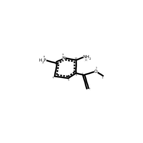 C=C(OC)c1ccc(P)nc1N